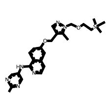 Cc1ncc(Nc2nccc3cc(OCc4cnn(COCC[Si](C)(C)C)c4C)ccc23)cn1